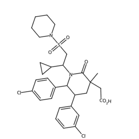 CC1(CC(=O)O)CC(c2cccc(Cl)c2)C(c2ccc(Cl)cc2)N(C(CS(=O)(=O)N2CCCCC2)C2CC2)C1=O